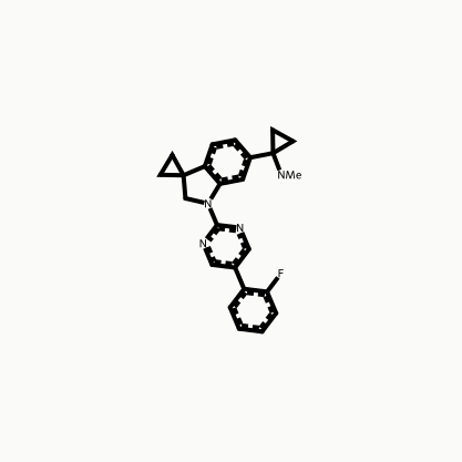 CNC1(c2ccc3c(c2)N(c2ncc(-c4ccccc4F)cn2)CC32CC2)CC1